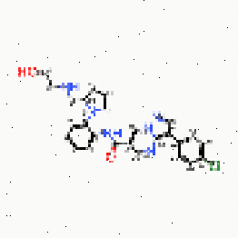 O=C(Nc1ccccc1N1CCC[C@H]1CNCCO)c1cnc2c(-c3ccc(Cl)cc3)cnn2c1